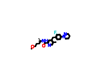 COCCC[C@H](C)NC(=O)c1cc(Cc2ccc(N3C=CCC=N3)cc2F)c(C)cn1